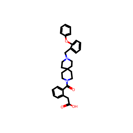 O=C(O)Cc1ccccc1C(=O)N1CCC2(CCN(Cc3ccccc3Oc3ccccc3)CC2)CC1